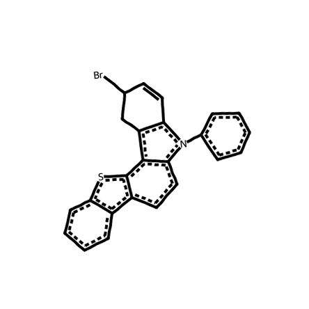 BrC1C=Cc2c(c3c4sc5ccccc5c4ccc3n2-c2ccccc2)C1